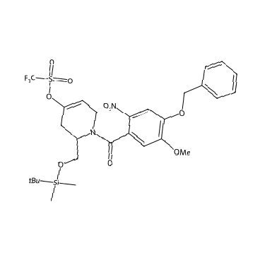 COc1cc(C(=O)N2CC=C(OS(=O)(=O)C(F)(F)F)CC2CO[Si](C)(C)C(C)(C)C)c([N+](=O)[O-])cc1OCc1ccccc1